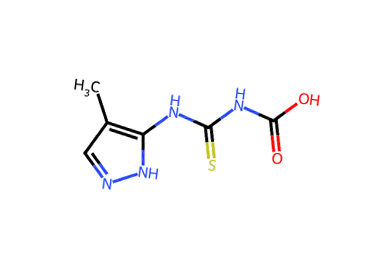 Cc1cn[nH]c1NC(=S)NC(=O)O